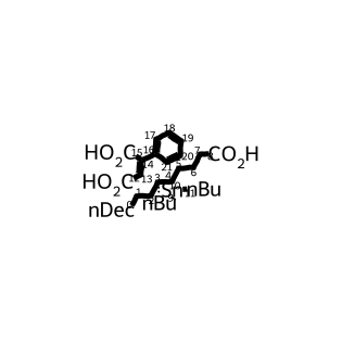 CCCCCCCCCCCCCCCCCC(=O)O.CCC[CH2][Sn][CH2]CCC.O=C(O)C=C(C(=O)O)c1ccccc1